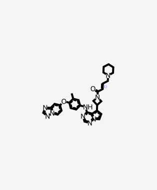 Cc1cc(Nc2ncnn3ccc(C4CN(C(=O)/C=C/CN5CCCCC5)C4)c23)ccc1Oc1ccn2ncnc2c1